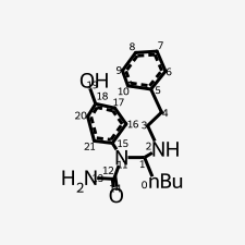 CCCCC(NCCc1ccccc1)N(C(N)=O)c1ccc(O)cc1